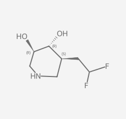 O[C@@H]1[C@@H](CC(F)F)CNC[C@H]1O